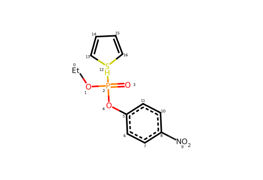 CCOP(=O)(Oc1ccc([N+](=O)[O-])cc1)[SH]1C=CC=C1